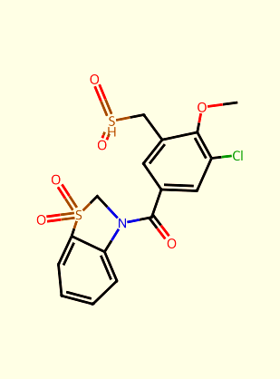 COc1c(Cl)cc(C(=O)N2CS(=O)(=O)c3ccccc32)cc1C[SH](=O)=O